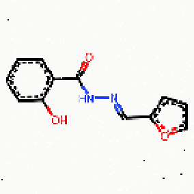 O=C(NN=Cc1ccco1)c1ccccc1O